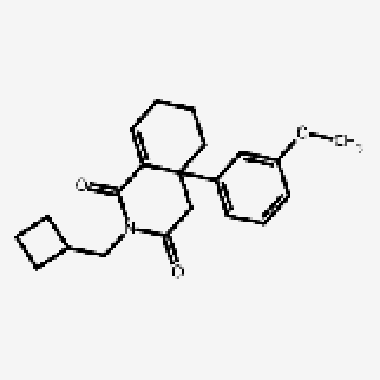 COc1cccc(C23CCCC=C2C(=O)N(CC2CCC2)C(=O)C3)c1